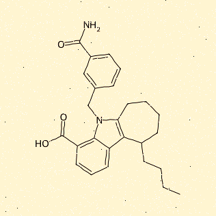 CCCCC1CCCCc2c1c1cccc(C(=O)O)c1n2Cc1cccc(C(N)=O)c1